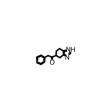 O=C(Cc1ccccc1)C1CCc2[nH]cnc2C1